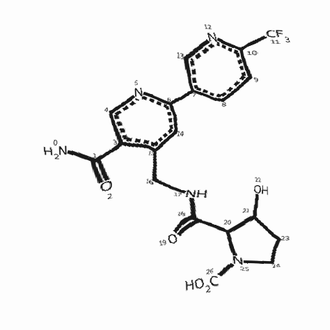 NC(=O)c1cnc(-c2ccc(C(F)(F)F)nc2)cc1CNC(=O)C1C(O)CCN1C(=O)O